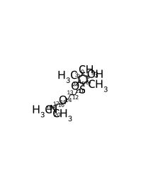 Cc1c(C)c2c(c(C)c1O)SC(CCCOCCN(C)C)O2